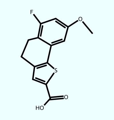 COc1cc(F)c2c(c1)-c1sc(C(=O)O)cc1CC2